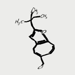 CC(C)(C)c1cc2cc(Cl)ccc2o1